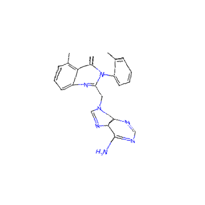 C=C1c2c(C)cccc2N=C(CN2C=NC3C(N)=NC=NC32)N1c1ccccc1C